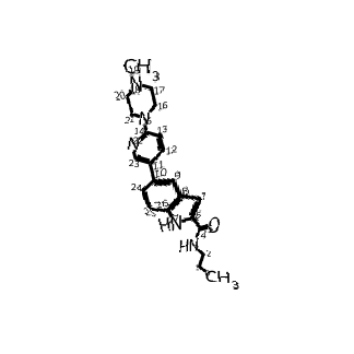 CCCNC(=O)c1cc2cc(-c3ccc(N4CCN(C)CC4)nc3)ccc2[nH]1